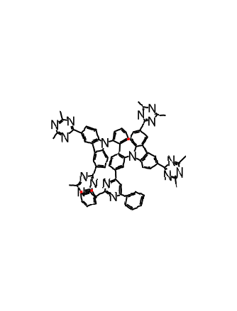 Cc1nc(C)nc(-c2ccc3c(c2)c2cc(-c4nc(C)nc(C)n4)ccc2n3-c2ccccc2-c2ccc(-c3cc(-c4ccccc4)nc(-c4ccccc4)n3)cc2-n2c3ccc(-c4nc(C)nc(C)n4)cc3c3cc(-c4nc(C)nc(C)n4)ccc32)n1